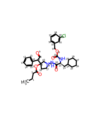 CCCC(=O)OC1(C(C=O)c2ccccc2)CCN(NC(=O)[C@H](CC2CCCCC2)NC(=O)OCc2cccc(Cl)c2)C1